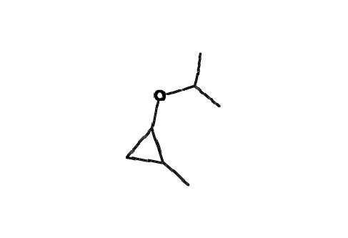 CC(C)OC1CC1C